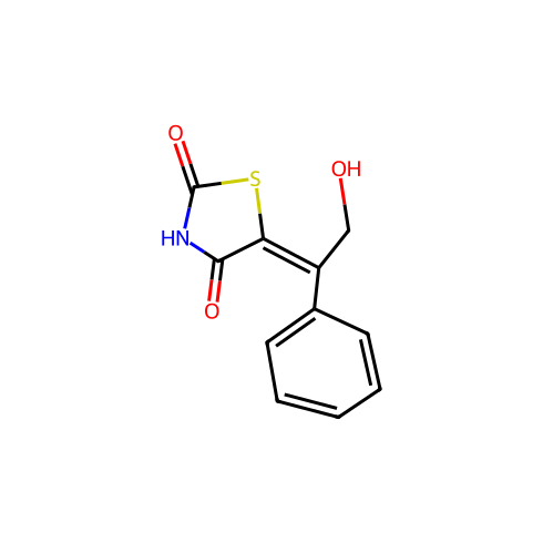 O=C1NC(=O)C(=C(CO)c2ccccc2)S1